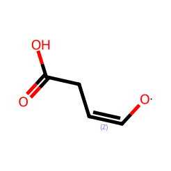 [O]/C=C\CC(=O)O